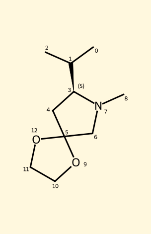 CC(C)[C@@H]1CC2(CN1C)OCCO2